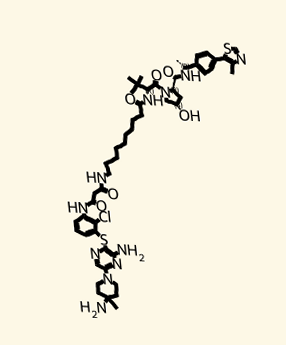 Cc1ncsc1-c1ccc([C@@H](C)NC(=O)[C@H]2C[C@H](O)CN2C(=O)[C@H](NC(=O)CCCCCCCCCNC(=O)CC(=O)Nc2cccc(Sc3ncc(N4CCC(C)(N)CC4)nc3N)c2Cl)C(C)(C)C)cc1